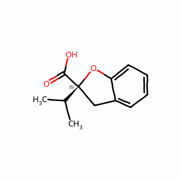 CC(C)[C@]1(C(=O)O)Cc2ccccc2O1